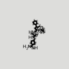 Cc1c(-c2ccccc2)cc(C(=O)N[C@@H](C)C(=O)NCc2ccc(C(=N)N)cc2)n1OC(=O)C(F)(F)F